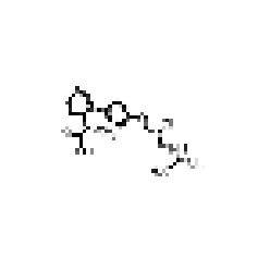 CC(C)NCC(O)COc1ccc(-c2ccccc2C(C)C(=O)O)cc1